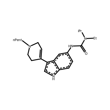 CCCCCN1CC=C(c2c[nH]c3ccc(NC(=O)N(CC)C(C)C)cc23)CC1